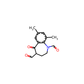 Cc1cc(C)c2c(c1)C(=O)C(C=O)CCN2C=O